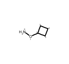 NOC1CCC1